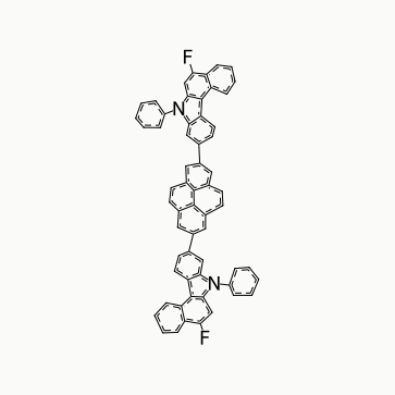 Fc1cc2c(c3ccccc13)c1ccc(-c3cc4ccc5cc(-c6ccc7c8c9ccccc9c(F)cc8n(-c8ccccc8)c7c6)cc6ccc(c3)c4c56)cc1n2-c1ccccc1